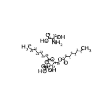 CCCCCCCC(=O)OCC(COP(=O)(O)O)OC(=O)CCCCCCC.NC(CO)C(=O)O